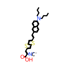 [C-]#[N+]/C(=C\c1cc2sc(/C=C/c3ccc4cc(N(CCCC)CCCC)ccc4c3)cc2s1)C(=O)O